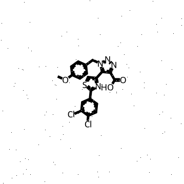 COc1ccc(Cn2nnc(C(=O)O)c2-c2csc(-c3ccc(Cl)c(Cl)c3)n2)cc1